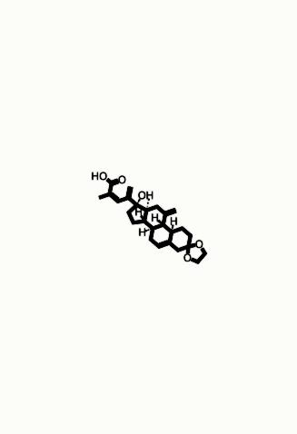 C=C1C[C@@]2(C)[C@@H](CC[C@@]2(O)C(=C)C=C(C)C(=O)O)[C@@H]2CC=C3CC4(CC[C@@H]3[C@@H]12)OCCO4